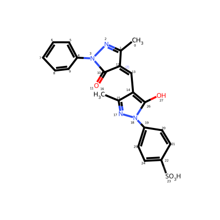 CC1=NN(c2ccccc2)C(=O)/C1=C\c1c(C)nn(-c2ccc(S(=O)(=O)O)cc2)c1O